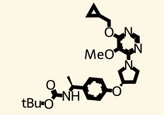 COc1c(OCC2CC2)ncnc1N1CC[C@@H](Oc2ccc([C@H](C)NC(=O)OC(C)(C)C)cc2)C1